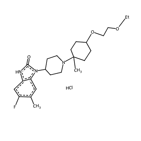 CCOCCOC1CCC(C)(N2CCC(n3c(=O)[nH]c4cc(F)c(C)cc43)CC2)CC1.Cl